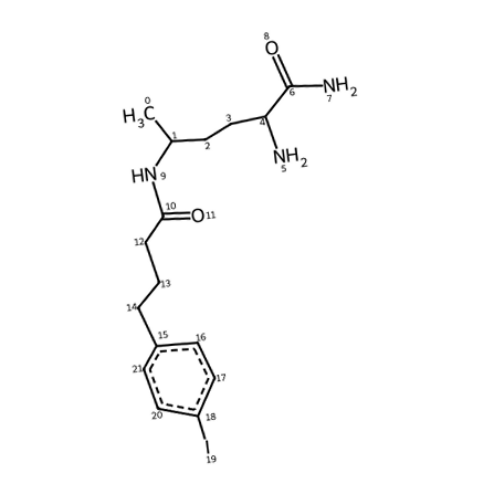 CC(CCC(N)C(N)=O)NC(=O)CCCc1ccc(I)cc1